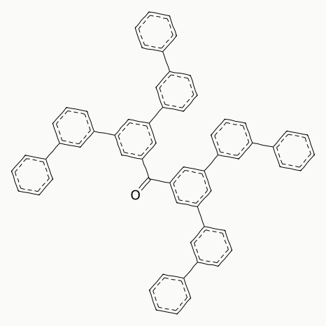 O=C(c1cc(-c2cccc(-c3ccccc3)c2)cc(-c2cccc(-c3ccccc3)c2)c1)c1cc(-c2cccc(-c3ccccc3)c2)cc(-c2cccc(-c3ccccc3)c2)c1